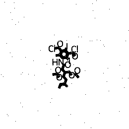 CC=C(C)CCC(COC(C)=O)C(OC(C)=O)C(=O)Nc1c(C)c(C(=O)Cl)c(I)c(C(=O)Cl)c1I